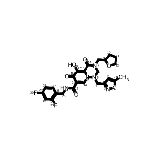 Cc1cc(CN2CN(CC3CCCO3)C(=O)c3c(O)c(=O)c(C(=O)NCc4ccc(F)cc4F)cn32)no1